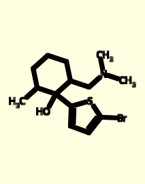 CC1CCCC(CN(C)C)C1(O)c1ccc(Br)s1